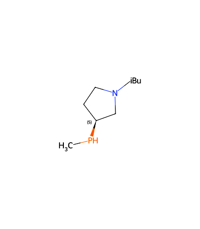 CCC(C)N1CC[C@H](PC)C1